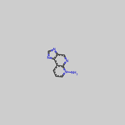 Nn1cccc2c3ncnc3cnc21